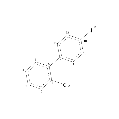 Clc1[c]cccc1-c1ccc(I)cc1